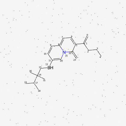 C=C(CCC)C1=CC=C2C=CC(BCC(C)(C)C(C)C)=CN2C1=C